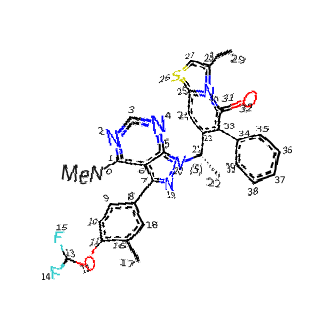 CNc1ncnc2c1c(-c1ccc(OC(F)F)c(C)c1)nn2[C@@H](C)c1cc2scc(C)n2c(=O)c1-c1ccccc1